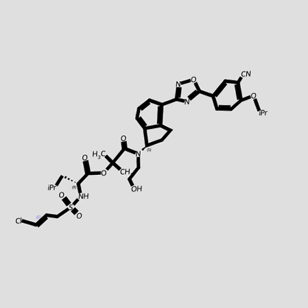 CC(C)C[C@@H](NS(=O)(=O)C/C=C/Cl)C(=O)OC(C)(C)C(=O)N(CCO)[C@H]1CCc2c(-c3noc(-c4ccc(OC(C)C)c(C#N)c4)n3)cccc21